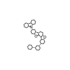 c1ccc(-c2cccc(-c3ccc4oc5ccc6c7cc(-n8c9ccccc9c9ccccc98)ccc7oc6c5c4c3)c2)cc1